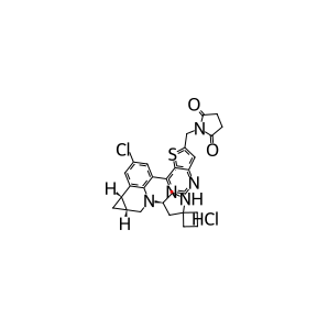 Cl.O=C1CCC(=O)N1Cc1cc2ncnc(-c3cc(Cl)cc4c3N([C@H]3CNC5(CCC5)C3)C[C@@H]3C[C@H]43)c2s1